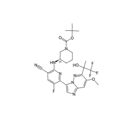 COc1cc2ncc(-c3nc(N[C@@H]4CCCN(C(=O)OC(C)(C)C)C4)c(C#N)cc3F)n2nc1C(C)(O)C(F)(F)F